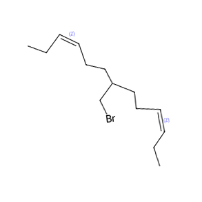 CC/C=C\CCC(CBr)CC/C=C\CC